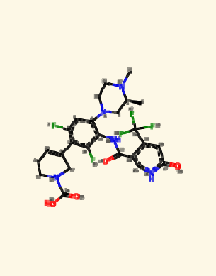 C[C@H]1CN(c2cc(F)c(C3=CCCN(C(=O)O)C3)c(F)c2NC(=O)c2c[nH]c(=O)cc2C(F)(F)F)CCN1C